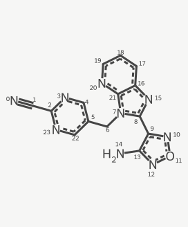 N#Cc1ncc(Cn2c(-c3nonc3N)nc3cccnc32)cn1